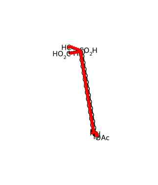 C#CCCCCCCCCCC(CCCCCCCCCCC(=O)O)(C(=O)O)C(=O)NCCOCCOCCOCCOCCOCCOCCOCCOCCOCCOCCOCCOCCOCCOCCOCCOCCOCCOCCOCCOCCOCCOCCOCCn1nnc2c1CC[C@H]1[C@@H](CC2)[C@H]1COC(C)=O